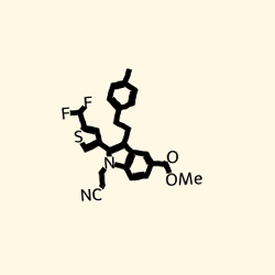 COC(=O)c1ccc2c(c1)c(CCc1ccc(C)cc1)c(-c1csc(C(F)F)c1)n2CCC#N